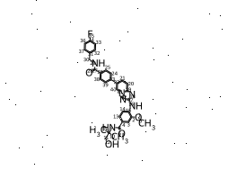 COc1cc(C(=O)NC(C)(C)CO)ccc1Nc1nc2ccc(-c3ccc(C(=O)NCc4ccc(F)cc4)cc3)cn2n1